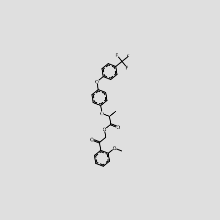 COc1ccccc1C(=O)COC(=O)C(C)Oc1ccc(Oc2ccc(C(F)(F)F)cc2)cc1